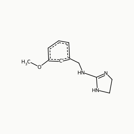 COc1cccc(CNC2=NCCN2)c1